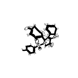 Cc1ccc(S(=O)(=O)N2CC(=O)c3[nH]c4ccccc4c3C2c2ccc(Cl)cc2)cc1